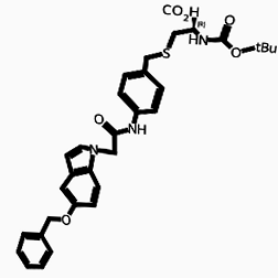 CC(C)(C)OC(=O)N[C@@H](CSCc1ccc(NC(=O)Cn2ccc3cc(OCc4ccccc4)ccc32)cc1)C(=O)O